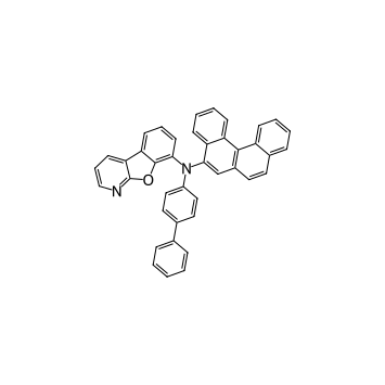 c1ccc(-c2ccc(N(c3cc4ccc5ccccc5c4c4ccccc34)c3cccc4c3oc3ncccc34)cc2)cc1